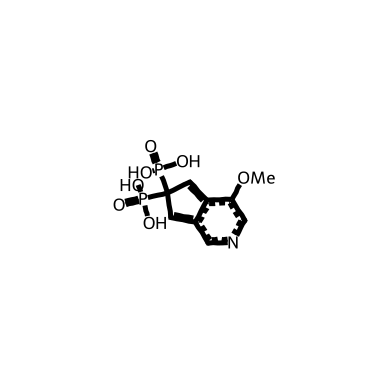 COc1cncc2c1=CC(P(=O)(O)O)(P(=O)(O)O)C=2